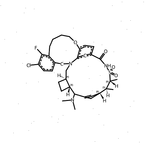 C[C@@H]1[C@@H](C)S(=O)(=O)NC(=O)c2ccc3c(c2)N(Cc2ccc(Cl)c(F)c2CCCCO3)C[C@@H]2CC[C@H]2C(N(C)C)C2=C[C@H]1C2